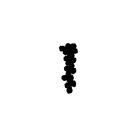 c1ccc(-n2c3ccc([Si](c4ccccc4)(c4ccccc4)c4cccc(-c5cccc([Si](c6ccccc6)(c6ccccc6)c6ccc7c(c6)n6c8ccc9c%10ccccc%10n(-c%10ccccc%10)c9c8nc6n7-c6cccc7c6sc6ccccc67)c5)c4)cc3c3ccc4c(nc5n(-c6cccc7c6sc6ccccc67)c6ccccc6n45)c32)cc1